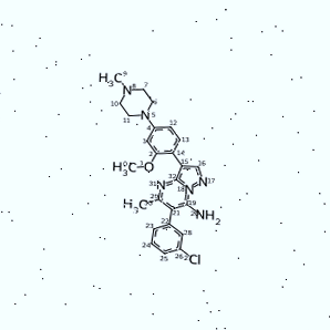 COc1cc(N2CCN(C)CC2)ccc1-c1cnn2c(N)c(-c3cccc(Cl)c3)c(C)nc12